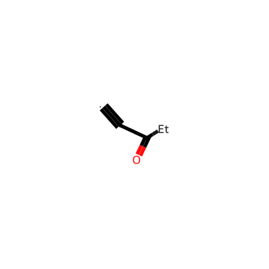 [C]#CC(=O)CC